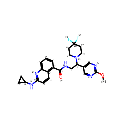 CCOc1ncc(C(CNC(=O)c2cccc3nc(NC4CC4)ccc23)N2CCC(F)(F)CC2)cn1